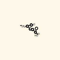 CCOCOc1ccc(-c2ccc(Cl)cc2)c(-c2ccc3cc(-c4ccc(C(=O)O)cc4C4CCCCC4)ccc3n2)c1